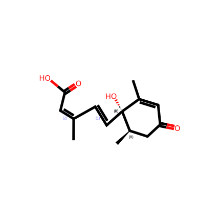 CC1=CC(=O)C[C@@H](C)[C@@]1(O)/C=C/C(C)=C\C(=O)O